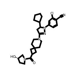 N#Cc1ccc(N2N=C(N3CCC4(CC3)CC(C(=O)N3CC[C@H](O)C3)C4)CC2C2CCCC2)cc1Cl